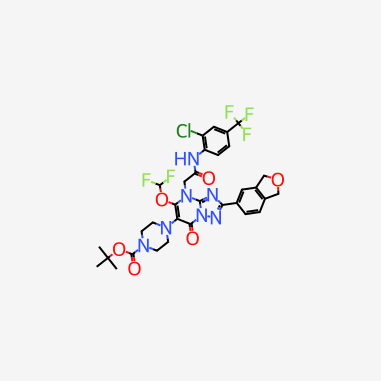 CC(C)(C)OC(=O)N1CCN(c2c(OC(F)F)n(CC(=O)Nc3ccc(C(F)(F)F)cc3Cl)c3nc(-c4ccc5c(c4)COC5)nn3c2=O)CC1